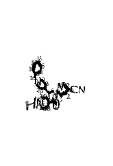 N#Cc1ccc(N(CCC2CCN(Cc3ccccc3)CC2)C(=O)C2CCNCC2)nc1